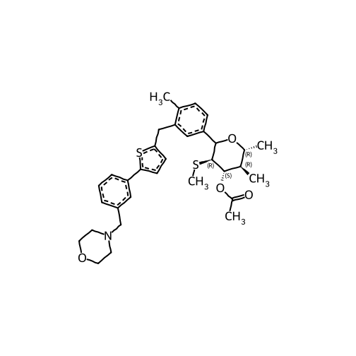 CS[C@H]1C(c2ccc(C)c(Cc3ccc(-c4cccc(CN5CCOCC5)c4)s3)c2)O[C@H](C)[C@@H](C)[C@@H]1OC(C)=O